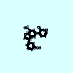 CC(C)(C)c1cc(-c2ccc[nH]c2=O)cc2c(-c3cccc(O)c3)coc12